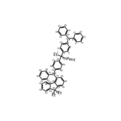 CCCCCC(CC)(c1ccc(N(c2ccccc2)c2ccccc2)cc1)c1ccc(N(c2ccccc2)c2cccc3c2-c2ccccc2C3(CC)CC)cc1